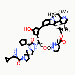 CCn1c(-c2cccnc2[C@H](C)OC)c2c3cc(ccc31)-c1cc(O)cc(c1)C[C@H](NC(=O)[C@H](C1CCCC1)N1CC[C@@]3(CCN(C(=O)C4=C(C5CC5)N4)C3)C1)COCN1CCC[C@H](N1)C(=O)OCC(C)(C)C2